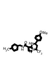 COc1ccc(C2CC(C(F)(F)F)n3ncc(C(=O)NCc4ccc(C)cc4)c3N2)cc1